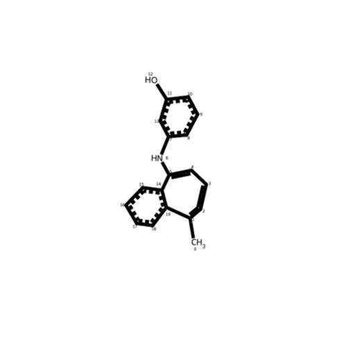 CC1=C=CC=C(Nc2cccc(O)c2)c2ccccc21